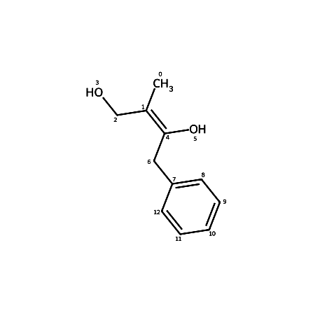 CC(CO)=C(O)Cc1ccccc1